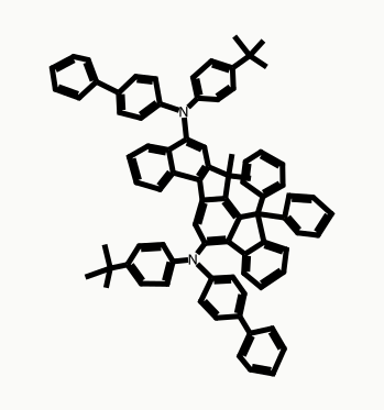 CC(C)(C)c1ccc(N(c2ccc(-c3ccccc3)cc2)c2cc3c(c4c2-c2ccccc2C4(c2ccccc2)c2ccccc2)C(C)(C)c2cc(N(c4ccc(-c5ccccc5)cc4)c4ccc(C(C)(C)C)cc4)c4ccccc4c2-3)cc1